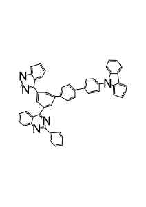 c1ccc(-c2nc(-c3cc(-c4ccc(-c5ccc(-n6c7ccccc7c7ccccc76)cc5)cc4)cc(-c4ncnc5ccccc45)c3)c3ccccc3n2)cc1